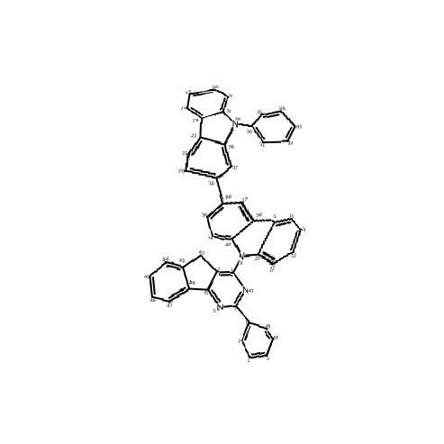 c1ccc(-c2nc3c(c(-n4c5ccccc5c5cc(-c6ccc7c8ccccc8n(-c8ccccc8)c7c6)ccc54)n2)Cc2ccccc2-3)cc1